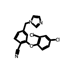 N#Cc1ccc(Cn2ccnc2)cc1Oc1ccc(Cl)cc1Cl